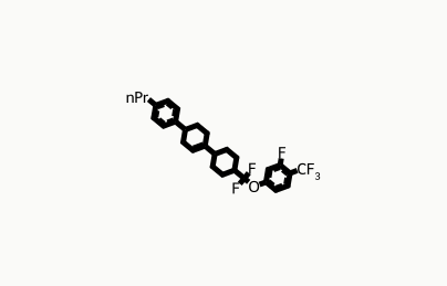 CCCc1ccc(C2CC=C(C3CCC(C(F)(F)Oc4ccc(C(F)(F)F)c(F)c4)CC3)CC2)cc1